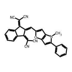 Cn1c(-c2ccccc2)cc2oc(C=C3C(=C(C#N)C#N)c4ccccc4C3=C(C#N)C#N)cc21